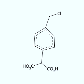 O=C(O)C(C(=O)O)c1ccc(CCl)cc1